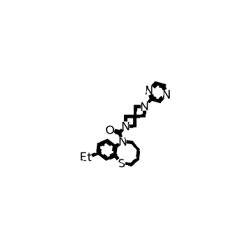 CCc1ccc2c(c1)SCCCCN2C(=O)N1CC2(C1)CN(c1cnccn1)C2